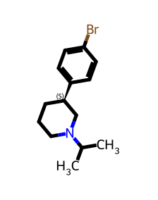 CC(C)N1CCC[C@@H](c2ccc(Br)cc2)C1